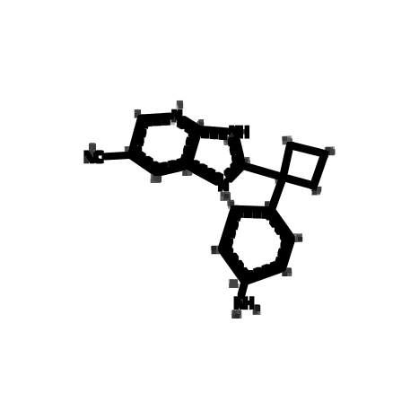 N#Cc1cnc2[nH]c(C3(c4ccc(N)cc4)CCC3)nc2c1